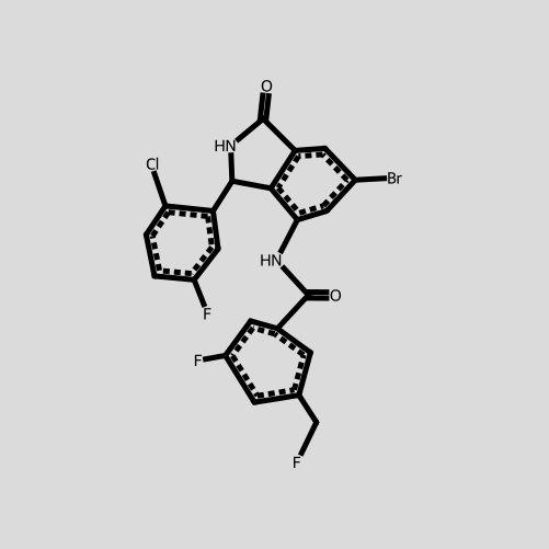 O=C(Nc1cc(Br)cc2c1C(c1cc(F)ccc1Cl)NC2=O)c1cc(F)cc(CF)c1